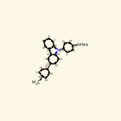 CCCCCCc1ccc(-n2c3ccccc3c3cc(-c4ccc(C)cc4)ccc32)cc1